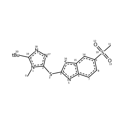 Cn1c(Sc2nc3ccc(S(C)(=O)=O)cc3s2)nnc1C(C)(C)C